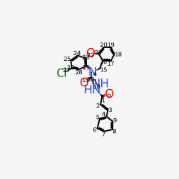 O=C(/C=C/c1ccccc1)NNC(=O)N1Cc2ccccc2Oc2ccc(Cl)cc21